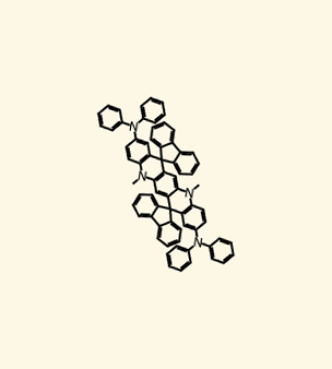 CN1c2ccc(N(c3ccccc3)c3ccccc3)cc2C2(c3ccccc3-c3ccccc32)c2cc3c(cc21)C1(c2ccccc2-c2ccccc21)c1cc(N(c2ccccc2)c2ccccc2)ccc1N3C